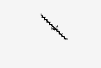 CCCCCCCCCCNCCCCCCCCCC.N